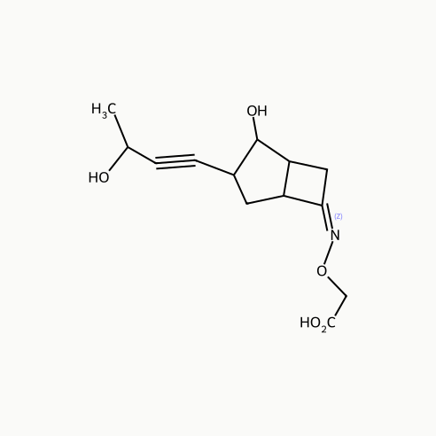 CC(O)C#CC1CC2/C(=N\OCC(=O)O)CC2C1O